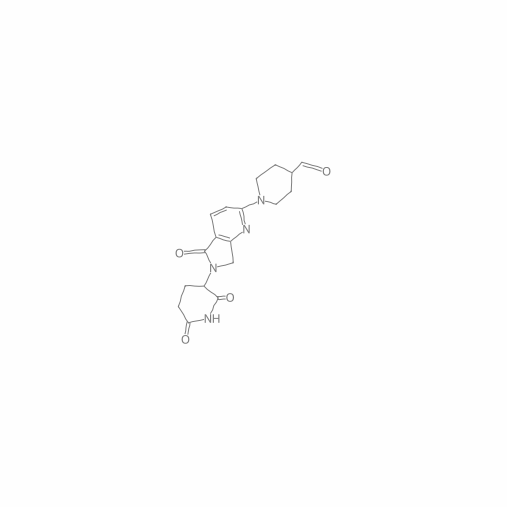 O=CC1CCN(c2ccc3c(n2)CN(C2CCC(=O)NC2=O)C3=O)CC1